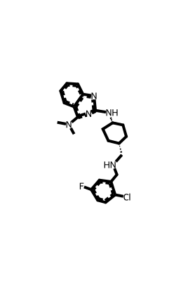 CN(C)c1nc(N[C@H]2CC[C@@H](CNCc3cc(F)ccc3Cl)CC2)nc2ccccc12